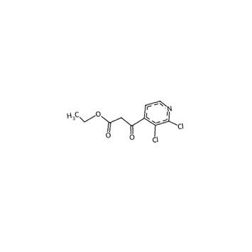 CCOC(=O)CC(=O)c1ccnc(Cl)c1Cl